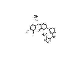 Cn1nccc1Nc1nccc(-c2ccn(C(CCO)c3ccc(Cl)c(F)c3)c(=O)c2)n1